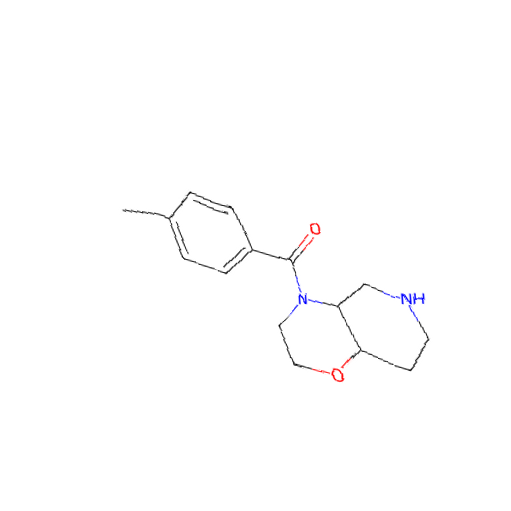 Cc1ccc(C(=O)N2CCOC3CCNCC32)cc1